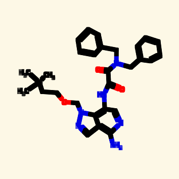 C[Si](C)(C)CCOCn1ncc2c(N)ncc(NC(=O)C(=O)N(Cc3ccccc3)Cc3ccccc3)c21